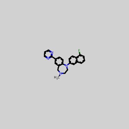 CN1CCN(c2ccc3c(F)cccc3c2)c2ccc(-c3ncccn3)cc2C1